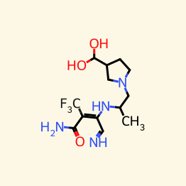 CC(CN1CCC(C(O)O)C1)N/C(C=N)=C(/C(N)=O)C(F)(F)F